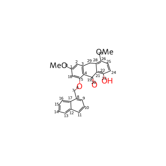 COc1cc2c(c(OCc3cccc4ccccc34)c1)C(=O)c1c(O)ccc(OC)c1C2